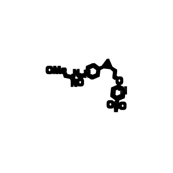 COCc1noc(N2CCC([C@H]3C[C@H]3CCOc3ccc(S(C)(=O)=O)cn3)CC2)n1